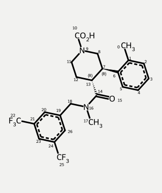 Cc1ccccc1[C@@H]1CN(C(=O)O)CC[C@H]1C(=O)N(C)Cc1cc(C(F)(F)F)cc(C(F)(F)F)c1